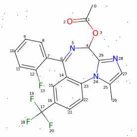 CC(=O)OC1N=C(c2ccccc2F)c2cc(C(F)(F)F)ccc2-n2c(C)cnc21